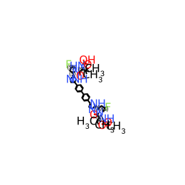 COC(=O)N[C@H](C(=O)N1C[C@@H](F)C[C@H]1c1ncc(-c2ccc(-c3ccc(-c4cnc([C@@H]5C[C@H](F)CN5C(=O)[C@@H](NC(=O)O)C(C)C)[nH]4)cc3)cc2)[nH]1)C(C)C